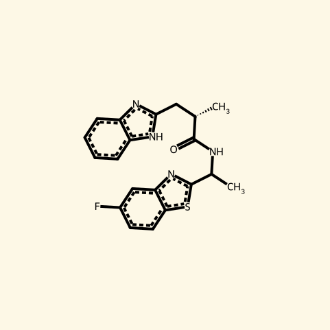 CC(NC(=O)[C@@H](C)Cc1nc2ccccc2[nH]1)c1nc2cc(F)ccc2s1